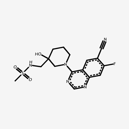 CS(=O)(=O)NCC1(O)CCCN(c2ncnc3cc(F)c(C#N)cc23)C1